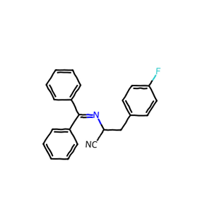 N#CC(Cc1ccc(F)cc1)N=C(c1ccccc1)c1ccccc1